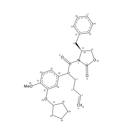 C=CCCC(C(=O)N1C(=O)OC[C@@H]1Cc1ccccc1)c1ccc(OC)c(OC2CCCC2)c1